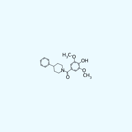 COc1cc(C(=O)N2CCC(c3ccccc3)CC2)cc(OC)c1O